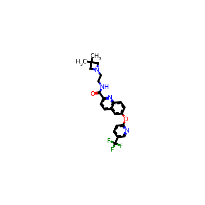 CC1(C)CN(CCNC(=O)c2ccc3cc(Oc4ccc(C(F)(F)F)cn4)ccc3n2)C1